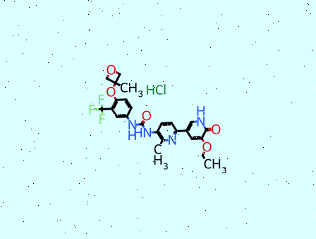 CCOc1cc(-c2ccc(NC(=O)Nc3ccc(OC4(C)COC4)c(C(F)(F)F)c3)c(C)n2)c[nH]c1=O.Cl